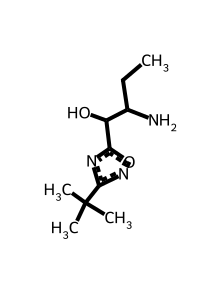 CCC(N)C(O)c1nc(C(C)(C)C)no1